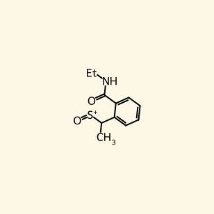 CCNC(=O)c1ccccc1C(C)[S+]=O